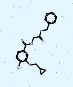 O=C(COC(=O)c1ccc(O)c(OCC2CC2)c1)OCc1ccccc1